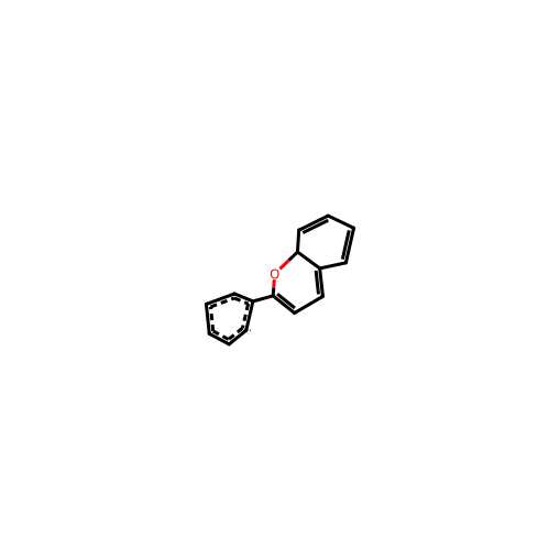 [c]1ccccc1C1=CC=C2C=CC=CC2O1